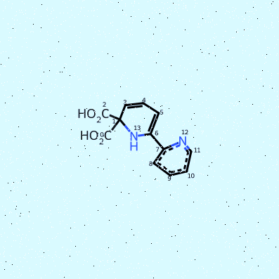 O=C(O)C1(C(=O)O)C=CC=C(c2ccccn2)N1